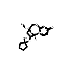 O=c1ccn2c(n1)OC[C@]1(CCl)CC(OC3(O)CCCC3)[C@H]2O1